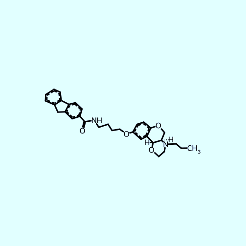 CCCN1CCO[C@@H]2c3cc(OCCCCNC(=O)c4ccc5c(c4)Cc4ccccc4-5)ccc3OC[C@H]21